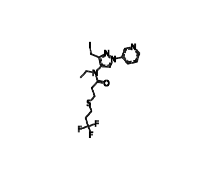 CCN(C(=O)CCSCCC(F)(F)F)c1cn(-c2cccnc2)nc1CI